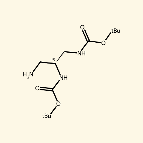 CC(C)(C)OC(=O)NC[C@@H](CN)NC(=O)OC(C)(C)C